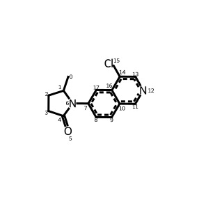 CC1CCC(=O)N1c1ccc2cncc(Cl)c2c1